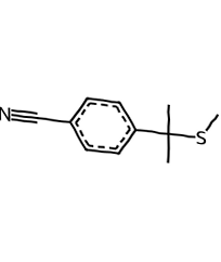 [CH2]SC(C)(C)c1ccc(C#N)cc1